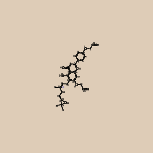 COCOc1ccc(-c2cc(=O)c3c(O)c(C/C=C(/C)CC[C@H]4OC4(C)C)c(OCOC)cc3o2)cc1